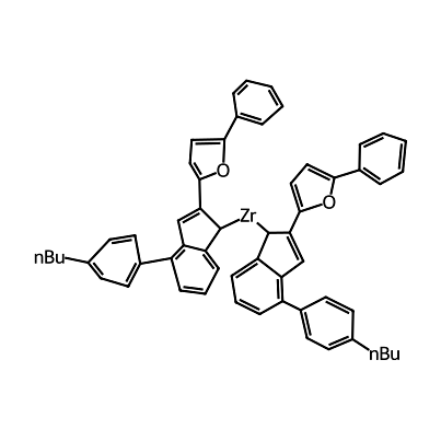 CCCCc1ccc(-c2cccc3c2C=C(c2ccc(-c4ccccc4)o2)[CH]3[Zr][CH]2C(c3ccc(-c4ccccc4)o3)=Cc3c(-c4ccc(CCCC)cc4)cccc32)cc1